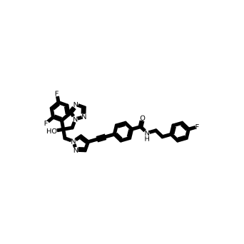 O=C(NCCc1ccc(F)cc1)c1ccc(C#Cc2cnn(CC(O)(Cn3cncn3)c3ccc(F)cc3F)c2)cc1